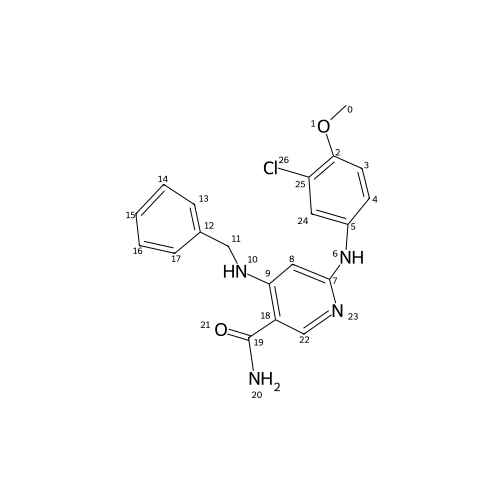 COc1ccc(Nc2cc(NCc3ccccc3)c(C(N)=O)cn2)cc1Cl